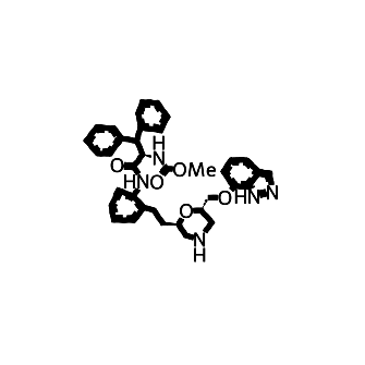 COC(=O)N[C@H](C(=O)Nc1ccccc1CC[C@@H]1CNC[C@@H](COc2cccc3cn[nH]c23)O1)C(c1ccccc1)c1ccccc1